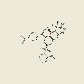 COc1ccccc1S(=O)(=O)N(Cc1ccc(C(F)(F)P(=O)(O)O)c(Cl)c1)Cc1ccccc1-c1ccc(C(N)=O)cc1